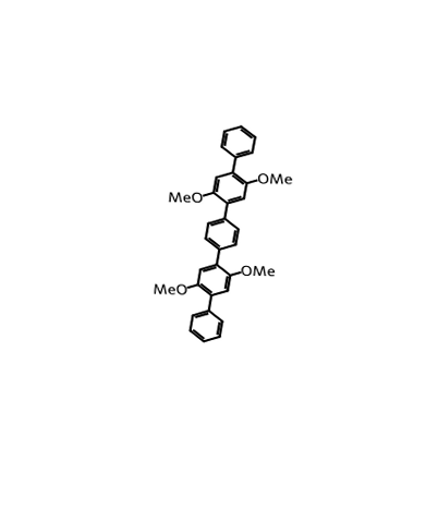 COc1cc(-c2ccc(-c3cc(OC)c(-c4ccccc4)cc3OC)cc2)c(OC)cc1-c1ccccc1